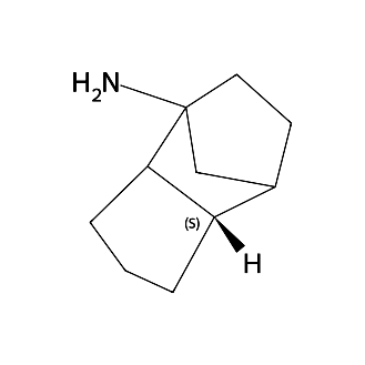 NC12CCC(C1)[C@@H]1CCCC12